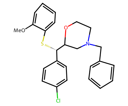 COc1ccccc1S[C@@H](c1ccc(Cl)cc1)C1CN(Cc2ccccc2)CCO1